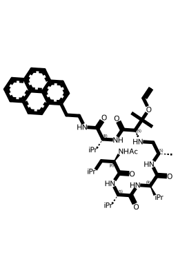 C=COC(C)(C)[C@H](NC[C@H](C)NC(=O)[C@H](NC(=O)[C@@H](NC(=O)[C@@H](CC(C)C)NC(C)=O)C(C)C)C(C)C)C(=O)N[C@@H](C(=O)NCCc1ccc2ccc3cccc4ccc1c2c34)C(C)C